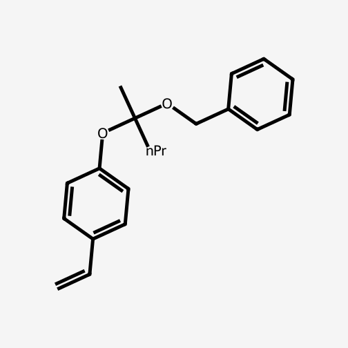 C=Cc1ccc(OC(C)(CCC)OCc2ccccc2)cc1